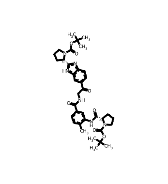 Cc1ccc(C(=O)NCC(=O)c2ccc3nc([C@@H]4CCCN4C(=O)OC(C)(C)C)[nH]c3c2)cc1NC(=O)[C@@H]1CCCN1C(=O)OC(C)(C)C